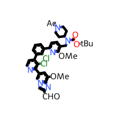 COc1nc(-c2cccc(-c3ccnc(-c4cc(OC)c5nc(C=O)cn5c4)c3Cl)c2Cl)ccc1CN(C(=O)OC(C)(C)C)C1CCN(C(C)=O)CC1